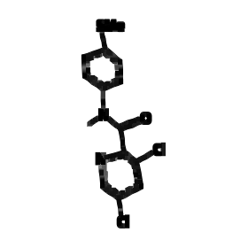 CSc1ccc(N(C)C(=O)c2ncc(Cl)cc2Cl)cc1